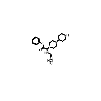 Cl.Cl.O=CNC(C(=O)Oc1ccccc1)N1CCN(C2CCNCC2)CC1